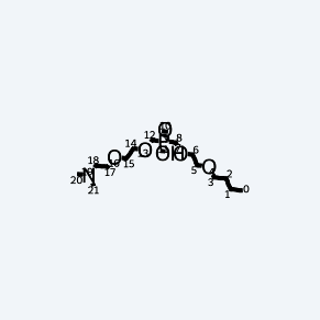 CCCCOCCOCP(=O)(O)COCCOCCN(C)C